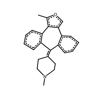 Cc1occ2c1-c1ccccc1C(=C1CCN(C)CC1)c1ccccc1-2